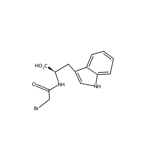 O=C(CBr)N[C@H](Cc1c[nH]c2ccccc12)C(=O)O